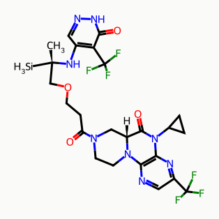 C[C@]([SiH3])(COCCC(=O)N1CCN2c3ncc(C(F)(F)F)nc3N(C3CC3)C(=O)[C@H]2C1)Nc1cn[nH]c(=O)c1C(F)(F)F